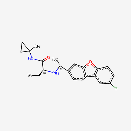 CC(C)C[C@H](N[C@@H](c1ccc2c(c1)oc1ccc(F)cc12)C(F)(F)F)C(=O)NC1(C#N)CC1